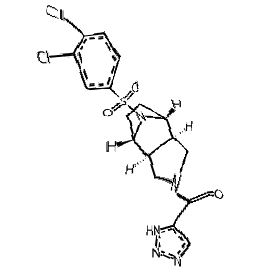 O=C(c1cnn[nH]1)N1C[C@@H]2[C@H](C1)[C@H]1CC[C@@H]2N1S(=O)(=O)c1ccc(Cl)c(Cl)c1